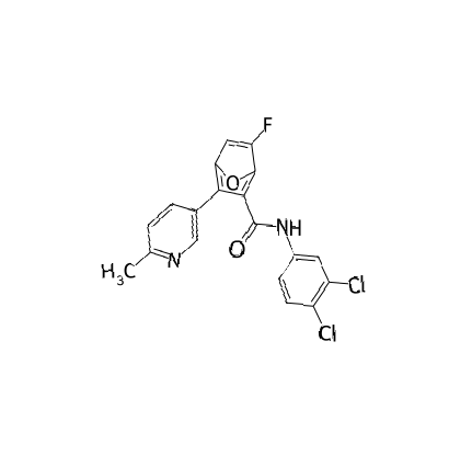 Cc1ccc(-c2c(C(=O)Nc3ccc(Cl)c(Cl)c3)c3oc2cc3F)cn1